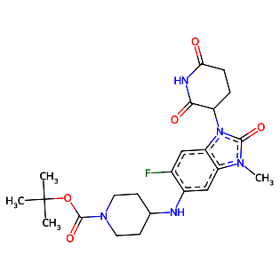 Cn1c(=O)n(C2CCC(=O)NC2=O)c2cc(F)c(NC3CCN(C(=O)OC(C)(C)C)CC3)cc21